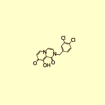 O=c1ccn2ccn(Cc3ccc(Cl)c(Cl)c3)c(=O)c2c1O